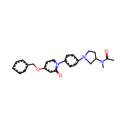 CC(=O)N(C)C1CCN(c2ccc(-n3ccc(OCc4ccccc4)cc3=O)cc2)C1